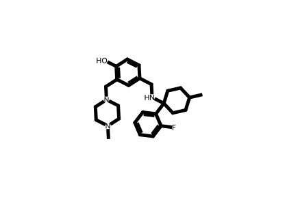 CC1CCC(NCc2ccc(O)c(CN3CCN(C)CC3)c2)(c2ccccc2F)CC1